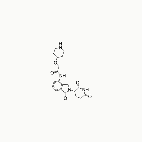 O=C1CCC(N2Cc3c(NC(=O)COC4CCNCC4)cccc3C2=O)C(=O)N1